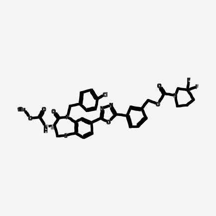 CC(C)(C)OC(=O)N[C@H]1CSc2ccc(-c3nnc(-c4cccc(COC(=O)N5CCCC(F)(F)C5)c4)o3)cc2N(Cc2ccc(Cl)cc2)C1=O